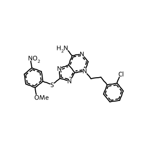 COc1ccc([N+](=O)[O-])cc1Sc1nc2c(N)ncn(CCc3ccccc3Cl)c-2n1